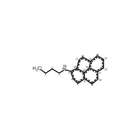 CCCCNc1ccc2ccc3cccc4ccc1c2c34